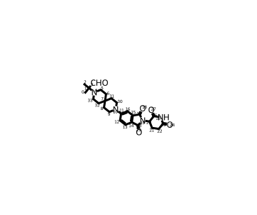 CC(C)(C=O)N1CCC2(CCN(c3ccc4c(c3)C(=O)N(C3CCC(=O)NC3=O)C4=O)CC2)CC1